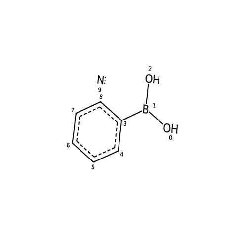 OB(O)c1ccccc1.[N]